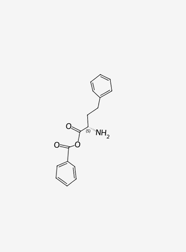 N[C@@H](CCc1ccccc1)C(=O)OC(=O)c1ccccc1